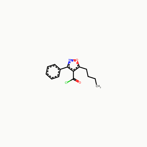 CCCCc1onc(-c2ccccc2)c1C(=O)Cl